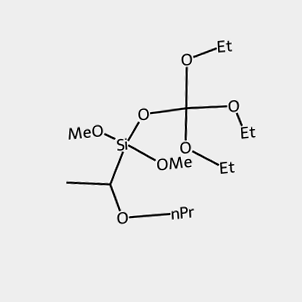 CCCOC(C)[Si](OC)(OC)OC(OCC)(OCC)OCC